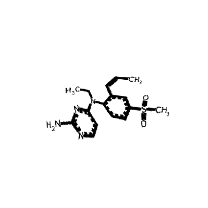 C/C=C\c1cc(S(C)(=O)=O)ccc1N(CC)c1ccnc(N)n1